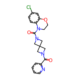 O=C(c1ccccn1)N1CC2(C1)CN(C(=O)N1CCOc3cc(Cl)ccc31)C2